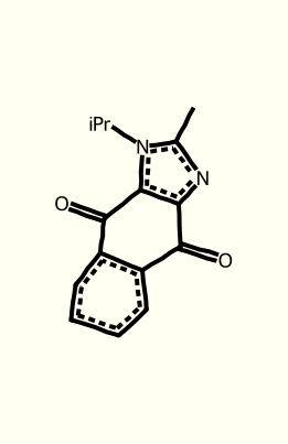 Cc1nc2c(n1C(C)C)C(=O)c1ccccc1C2=O